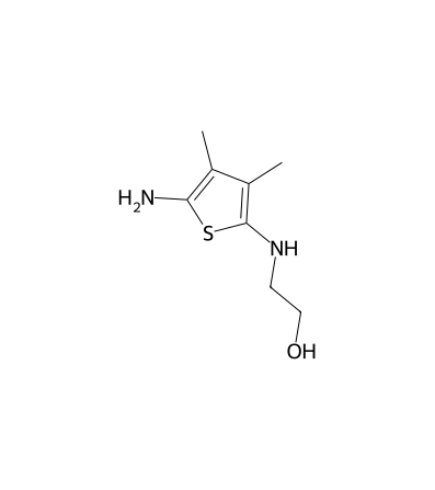 Cc1c(N)sc(NCCO)c1C